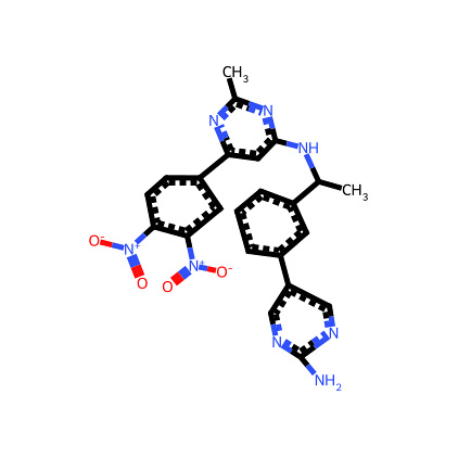 Cc1nc(NC(C)c2cccc(-c3cnc(N)nc3)c2)cc(-c2ccc([N+](=O)[O-])c([N+](=O)[O-])c2)n1